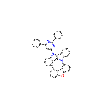 c1ccc(-c2cc(-n3c4cccc5c6cccc7oc8cccc(c8c76)n6c7ccccc7c3c6c54)nc(-c3ccccc3)n2)cc1